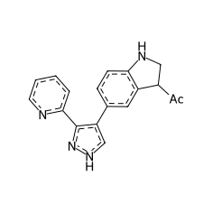 CC(=O)C1CNc2ccc(-c3c[nH]nc3-c3ccccn3)cc21